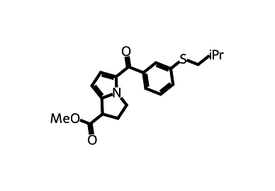 COC(=O)C1CCn2c(C(=O)c3cccc(SCC(C)C)c3)ccc21